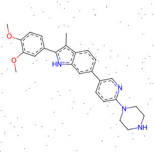 COc1ccc(-c2[nH]c3cc(-c4ccc(N5CCNCC5)nc4)ccc3c2C)cc1OC